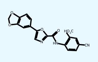 N#Cc1ccc(NC(=O)c2ncc(-c3ccc4c(c3)OCO4)o2)c(C(=O)O)c1